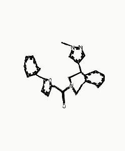 Cn1cc(C2CN(C(=O)c3ccc(-c4ccccc4)o3)Cc3ccccc32)cn1